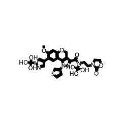 COc1cc2c(cc1-c1cnn(C(O)(O)O)c1)-c1c(c(C(=O)N(CCN3CCOC3=O)C(O)(O)O)nn1-c1ccsc1)CO2